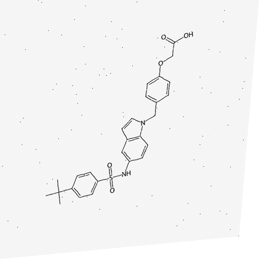 CC(C)(C)c1ccc(S(=O)(=O)Nc2ccc3c(ccn3Cc3ccc(OCC(=O)O)cc3)c2)cc1